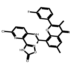 Cc1cc([C@@H](C)Nc2ccc(Cl)nc2-c2noc(=O)[nH]2)c2oc(-c3cccc(F)c3)c(C)c(=O)c2c1